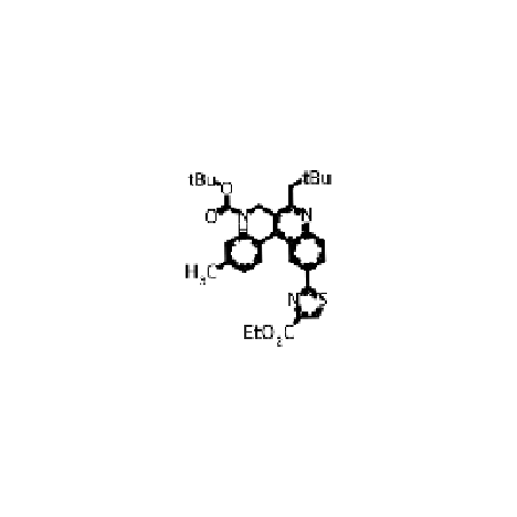 CCOC(=O)c1csc(-c2ccc3nc(CC(C)(C)C)c(CNC(=O)OC(C)(C)C)c(-c4ccc(C)cc4)c3c2)n1